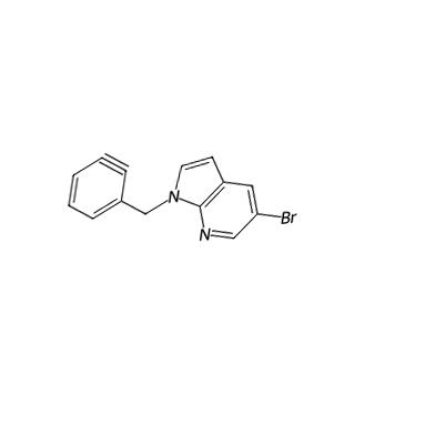 Brc1cnc2c(ccn2Cc2c#cccc2)c1